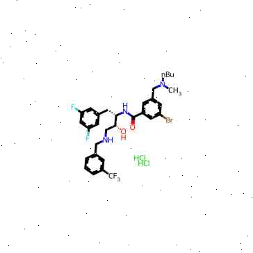 CCCCN(C)Cc1cc(Br)cc(C(=O)N[C@@H](Cc2cc(F)cc(F)c2)[C@H](O)CNCc2cccc(C(F)(F)F)c2)c1.Cl.Cl